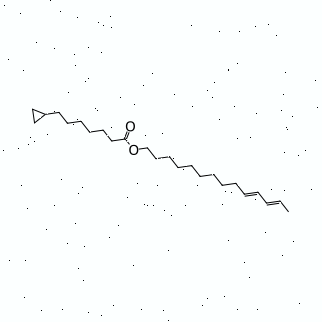 CC=CC=CCCCCCCCCCOC(=O)CCCCCCC1CC1